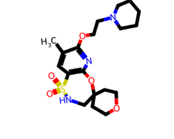 Cc1cc2c(nc1OCCN1CCCCC1)OC1(CCOCC1)CNS2(=O)=O